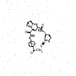 [C-]#[N+]c1cc(CNC(=O)c2cc(C(=O)NCC34CCC(C(C)=O)(CC3)CC4)n3nccc3n2)ccn1